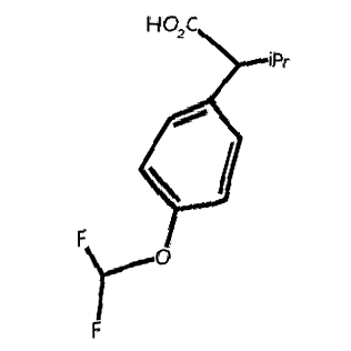 CC(C)C(C(=O)O)c1ccc(OC(F)F)cc1